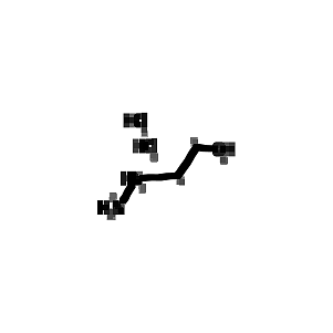 Cl.Cl.NNCCO